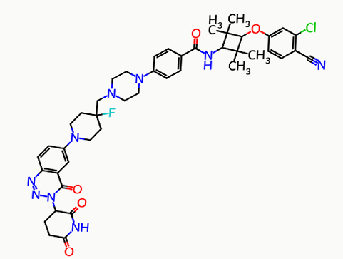 CC1(C)C(NC(=O)c2ccc(N3CCN(CC4(F)CCN(c5ccc6nnn(C7CCC(=O)NC7=O)c(=O)c6c5)CC4)CC3)cc2)C(C)(C)C1Oc1ccc(C#N)c(Cl)c1